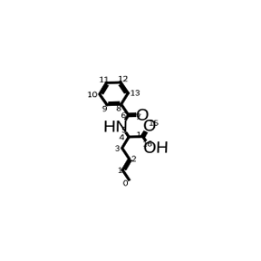 CC=CCC(NC(=O)c1ccccc1)C(=O)O